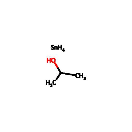 CC(C)O.[SnH4]